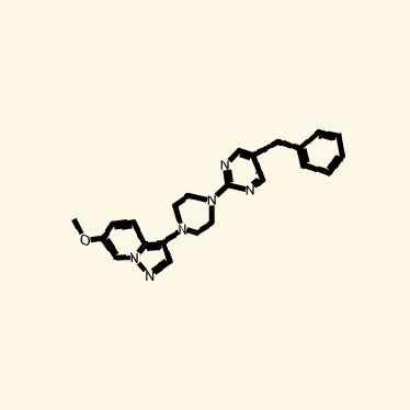 COc1ccc2c(N3CCN(c4ncc(Cc5ccccc5)cn4)CC3)cnn2c1